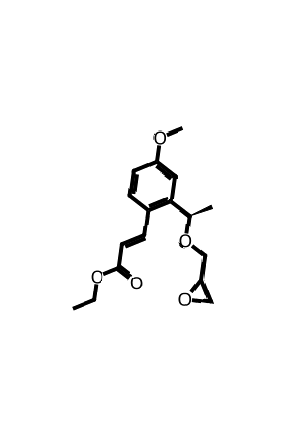 CCOC(=O)/C=C/c1ccc(OC)cc1[C@@H](C)OCC1CO1